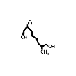 CCCC(CO)CCCCC(C)CO